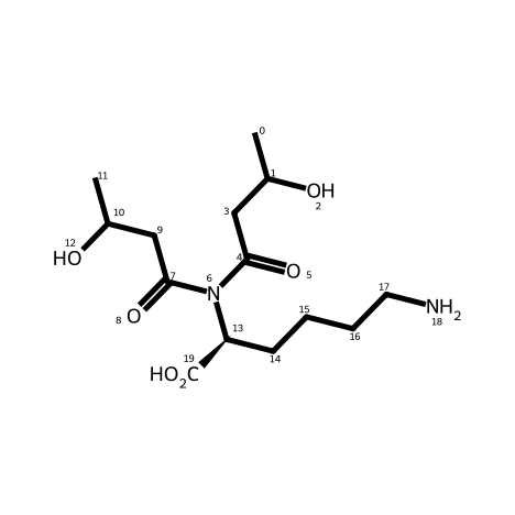 CC(O)CC(=O)N(C(=O)CC(C)O)[C@@H](CCCCN)C(=O)O